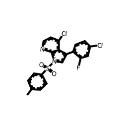 Cc1ccc(S(=O)(=O)n2cc(-c3ccc(Cl)cc3F)c3c(Cl)ccnc32)cc1